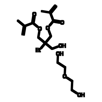 C=C(C)C(=O)OCC(CC)(CO)COC(=O)C(=C)C.OCCOCCO